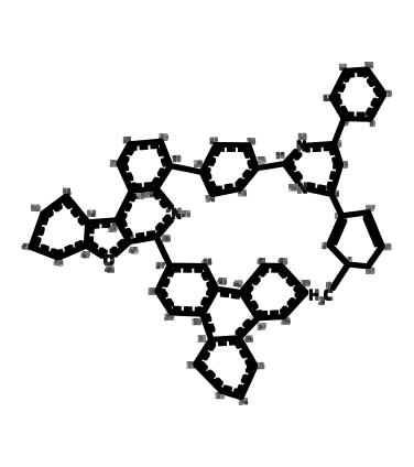 CC1C=C(c2cc(-c3ccccc3)nc(-c3ccc(-c4cccc5c4nc(-c4ccc6c7ccccc7c7ccccc7c6c4)c4oc6ccccc6c45)cc3)n2)C=CC1